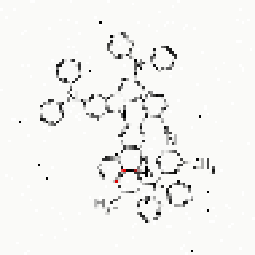 Cc1ccc2c(c1)C(c1ccccc1)(c1ccccc1)c1cc(C)ccc1N2c1cc(-c2ccccc2C#N)c(-n2c3ccc(N(c4ccccc4)c4ccccc4)cc3c3cc(N(c4ccccc4)c4ccccc4)ccc32)cc1-c1ccccc1C#N